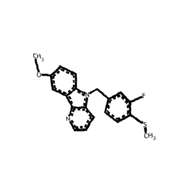 COc1ccc2c(c1)c1ncccc1n2Cc1ccc(SC)c(F)c1